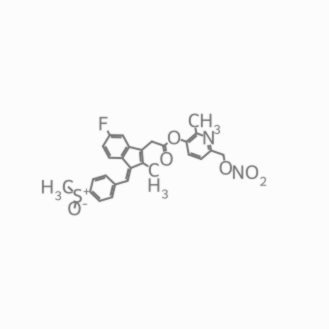 CC1=C(CC(=O)Oc2ccc(CO[N+](=O)[O-])nc2C)c2cc(F)ccc2/C1=C\c1ccc([S+](C)[O-])cc1